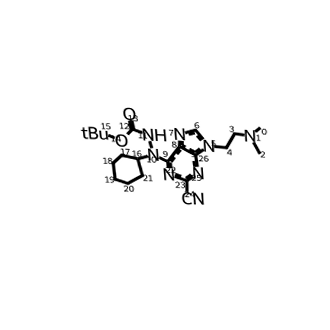 CN(C)CCn1cnc2c(N(NC(=O)OC(C)(C)C)C3CCCCC3)nc(C#N)nc21